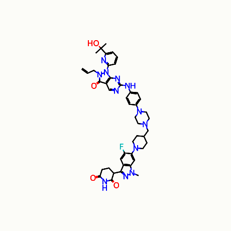 C=CCn1c(=O)c2cnc(Nc3ccc(N4CCN(CC5CCN(c6cc7c(cc6F)c(C6CCC(=O)NC6=O)nn7C)CC5)CC4)cc3)nc2n1-c1cccc(C(C)(C)O)n1